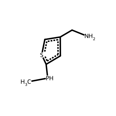 CPc1cc(CN)cs1